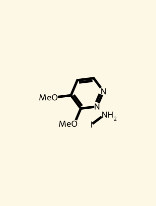 COc1ccnnc1OC.NI